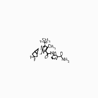 Cc1c(C(C)(F)F)nn(C[C@@]23CC2CC(F)(F)C3)c1C(=O)Nc1ccnc(C(N)=O)c1